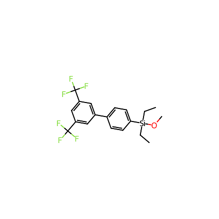 CC[Si](CC)(OC)c1ccc(-c2cc(C(F)(F)F)cc(C(F)(F)F)c2)cc1